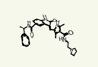 Cc1[nH]c(C=C2C(=O)Nc3ccc(C(=O)N[C@H](C)c4ccccc4)cc32)c(C)c1C(=O)NCCN1CCCC1